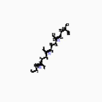 CC/N=C(\C)CC/C(C)=C/CC/C(C)=C/CC(C)C